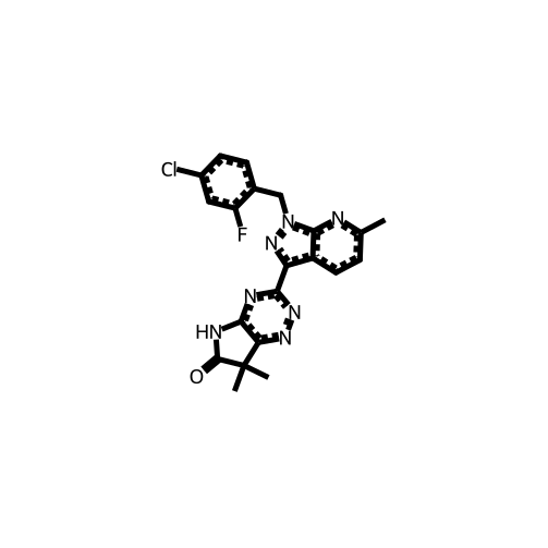 Cc1ccc2c(-c3nnc4c(n3)NC(=O)C4(C)C)nn(Cc3ccc(Cl)cc3F)c2n1